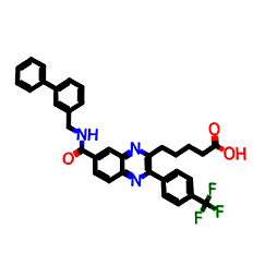 O=C(O)CCCCc1nc2cc(C(=O)NCc3cccc(-c4ccccc4)c3)ccc2nc1-c1ccc(C(F)(F)F)cc1